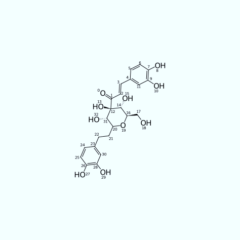 O=C(C=Cc1ccc(O)c(O)c1)[C@]1(O)[C@H](O)[C@@H](CO)OC(CCc2ccc(O)c(O)c2)[C@@H]1O